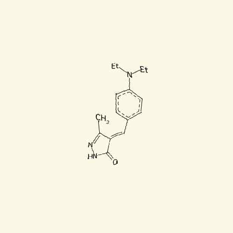 CCN(CC)c1ccc(C=C2C(=O)NN=C2C)cc1